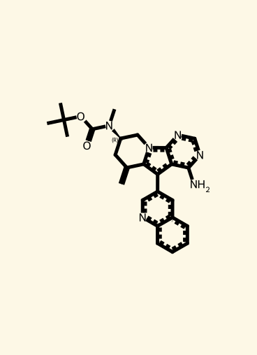 C=C1C[C@@H](N(C)C(=O)OC(C)(C)C)Cn2c1c(-c1cnc3ccccc3c1)c1c(N)ncnc12